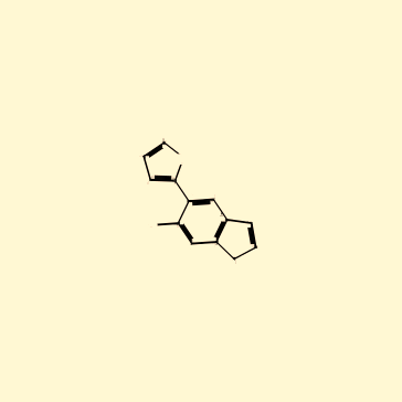 Brc1cc2c(cc1-c1cccs1)C=CC2